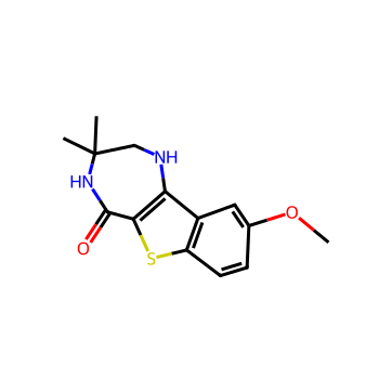 COc1ccc2sc3c(c2c1)NCC(C)(C)NC3=O